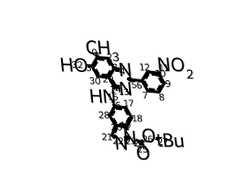 Cc1cc2nc(-c3cccc([N+](=O)[O-])c3)nc(Nc3ccc4c(cnn4C(=O)OC(C)(C)C)c3)c2cc1O